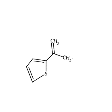 [CH2]C(=C)c1cccs1